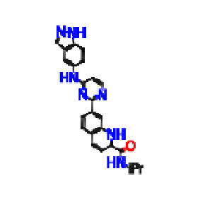 CC(C)NC(=O)C1C=Cc2ccc(-c3nccc(Nc4ccc5[nH]ncc5c4)n3)cc2N1